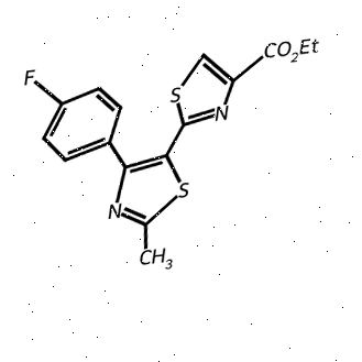 CCOC(=O)c1csc(-c2sc(C)nc2-c2ccc(F)cc2)n1